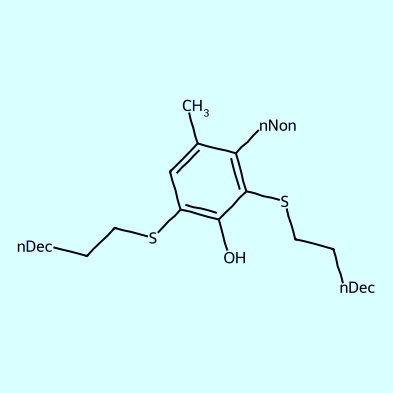 CCCCCCCCCCCCSc1cc(C)c(CCCCCCCCC)c(SCCCCCCCCCCCC)c1O